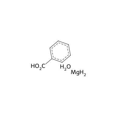 O.O=C(O)c1ccccc1.[MgH2]